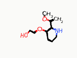 C=C(OC)C1NCCCC1OCCO